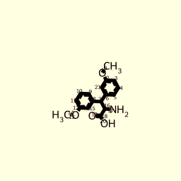 COc1cccc(C(c2cccc(OC)c2)C(N)C(=O)O)c1